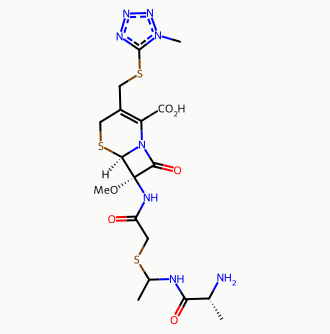 CO[C@@]1(NC(=O)CSC(C)NC(=O)[C@@H](C)N)C(=O)N2C(C(=O)O)=C(CSc3nnnn3C)CS[C@@H]21